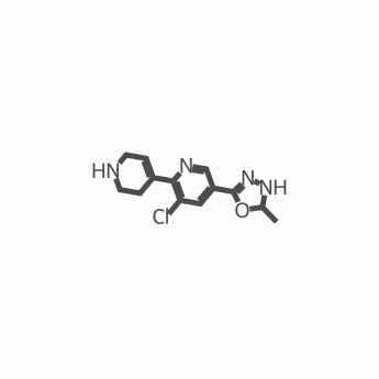 CC1NN=C(c2cnc(C3=CCNCC3)c(Cl)c2)O1